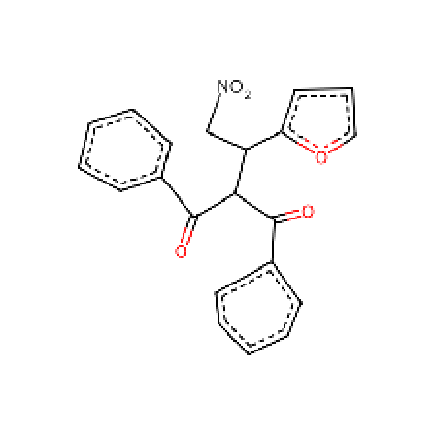 O=C(c1ccccc1)C(C(=O)c1ccccc1)C(C[N+](=O)[O-])c1ccco1